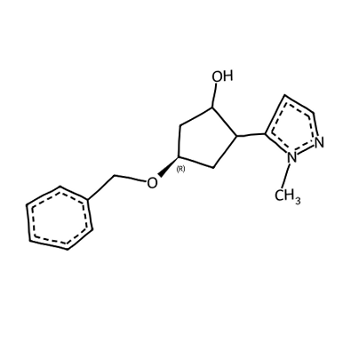 Cn1nccc1C1C[C@@H](OCc2ccccc2)CC1O